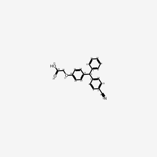 N#Cc1ccc([C](c2ccccc2)c2ccc(OCC(=O)O)cc2)cc1